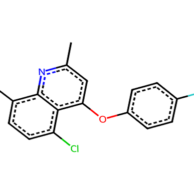 Cc1cc(Oc2ccc(F)cc2)c2c(Cl)ccc(C)c2n1